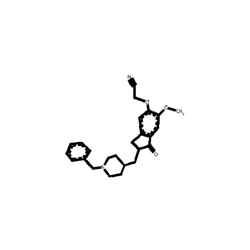 COc1cc2c(cc1OCC#N)CC(CC1CCN(Cc3ccccc3)CC1)C2=O